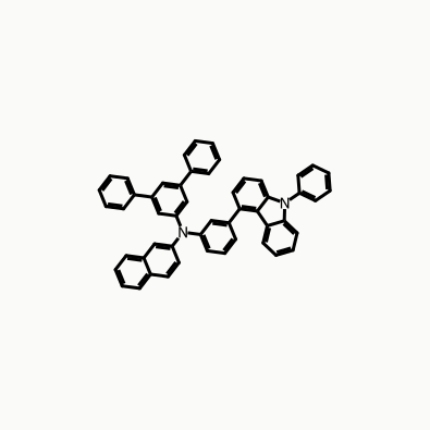 c1ccc(-c2cc(-c3ccccc3)cc(N(c3cccc(-c4cccc5c4c4ccccc4n5-c4ccccc4)c3)c3ccc4ccccc4c3)c2)cc1